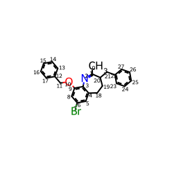 CC1=Nc2c(cc(Br)cc2OCc2ccccc2)CCC1Cc1ccccc1